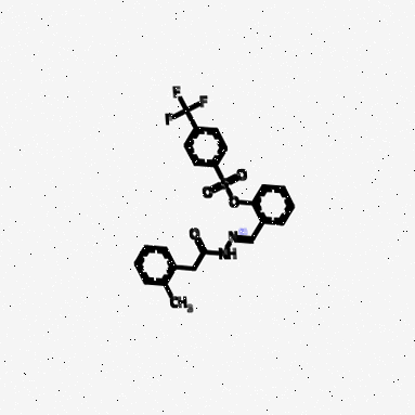 Cc1ccccc1CC(=O)N/N=C/c1ccccc1OS(=O)(=O)c1ccc(C(F)(F)F)cc1